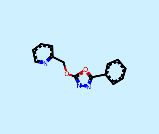 c1ccc(-c2nnc(OCc3ccccn3)o2)cc1